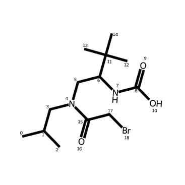 CC(C)CN(CC(NC(=O)O)C(C)(C)C)C(=O)CBr